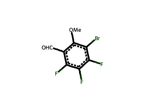 COc1c(Br)c(F)c(F)c(F)c1C=O